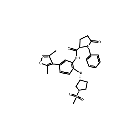 Cc1noc(C)c1-c1ccc(N[C@@H]2CCN(S(C)(=O)=O)C2)c(NC(=O)C2CCC(=O)N2c2ccccc2)c1